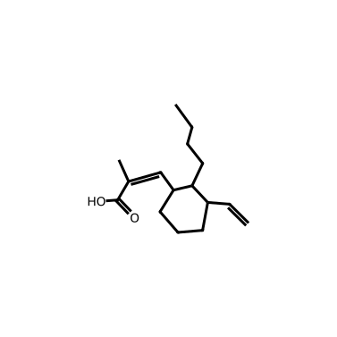 C=CC1CCCC(C=C(C)C(=O)O)C1CCCC